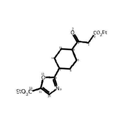 CCOC(=O)CC(=O)C1CCC(c2ncc(C(=O)OCC)o2)CC1